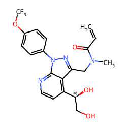 C=CC(=O)N(C)Cc1nn(-c2ccc(OC(F)(F)F)cc2)c2nccc([C@@H](O)CO)c12